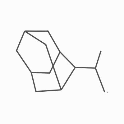 [CH2]C(C)C1C2CC3CC(C2)CC1C3